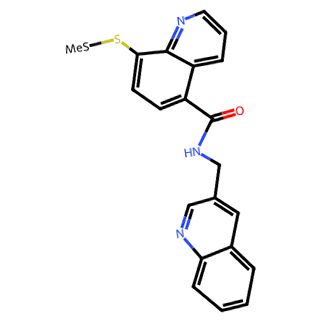 CSSc1ccc(C(=O)NCc2cnc3ccccc3c2)c2cccnc12